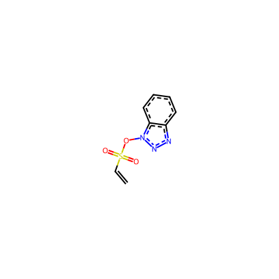 C=CS(=O)(=O)On1nnc2ccccc21